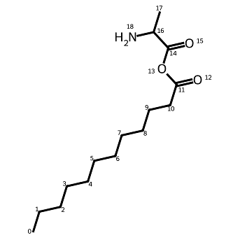 CCCCCCCCCCCC(=O)OC(=O)C(C)N